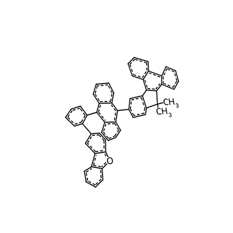 CC1(C)c2ccc(-c3c4ccccc4c(-c4ccccc4-c4ccc5oc6ccccc6c5c4)c4ccccc34)cc2-c2c1c1ccccc1c1ccccc21